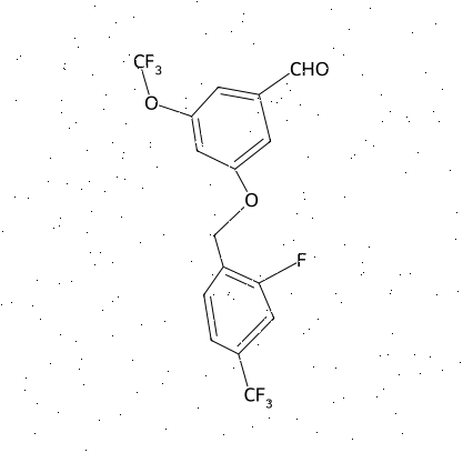 O=Cc1cc(OCc2ccc(C(F)(F)F)cc2F)cc(OC(F)(F)F)c1